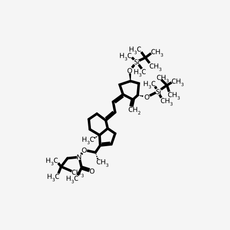 C=C1C(=CC=C2CCC[C@]3(C)C([C@H](C)ON(CC(C)(C)C)C(C)=O)=CCC23)C[C@@H](O[Si](C)(C)C(C)(C)C)C[C@@H]1O[Si](C)(C)C(C)(C)C